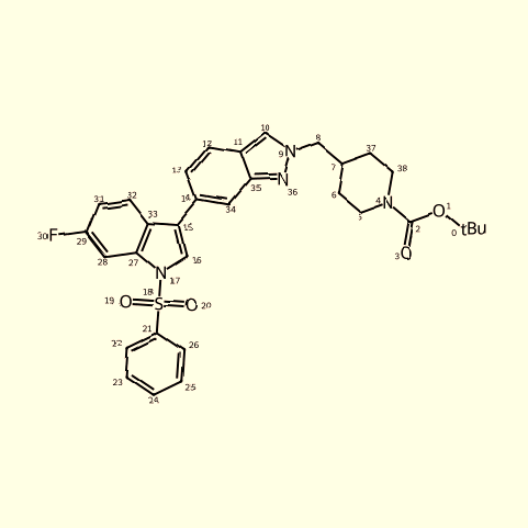 CC(C)(C)OC(=O)N1CCC(Cn2cc3ccc(-c4cn(S(=O)(=O)c5ccccc5)c5cc(F)ccc45)cc3n2)CC1